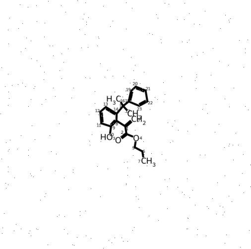 C=C(C(=O)OCCC)c1c(O)cccc1C(C)(C)c1ccccc1